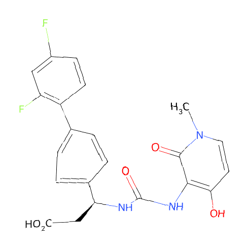 Cn1ccc(O)c(NC(=O)N[C@@H](CC(=O)O)c2ccc(-c3ccc(F)cc3F)cc2)c1=O